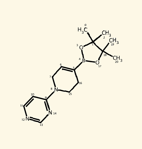 CC1(C)OB(C2=CCN(c3ccncn3)CC2)OC1(C)C